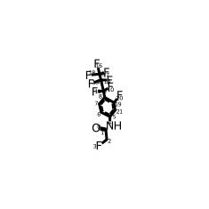 O=C(CF)Nc1ccc(C(F)(F)C(F)(F)C(F)(F)F)c(F)c1